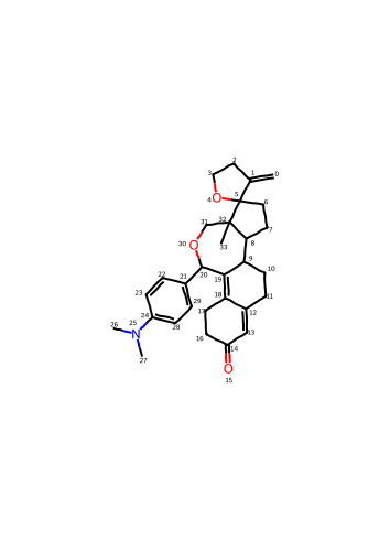 C=C1CCOC12CCC1C3CCC4=CC(=O)CCC4=C3C(c3ccc(N(C)C)cc3)OCC12C